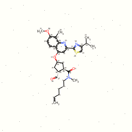 C=CCCCCN(C)C(=O)[C@@H]1C[C@H](Oc2cc(-c3nc(C(C)C)cs3)nc3c(C)c(OC)ccc23)C[C@H]1C=O